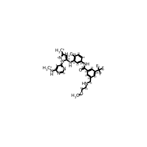 CNc1cc(-n2nc(C)cc2Nc2cc(NC(=O)c3cc(CNCCOC)cc(C(F)(F)F)c3)ccc2C)ncn1